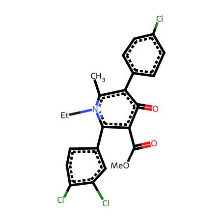 CCn1c(C)c(-c2ccc(Cl)cc2)c(=O)c(C(=O)OC)c1-c1ccc(Cl)c(Cl)c1